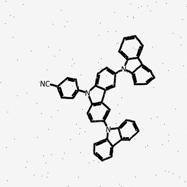 N#Cc1ccc(-n2c3ccc(-n4c5ccccc5c5ccccc54)cc3c3cc(-n4c5ccccc5c5ccccc54)ccc32)cc1